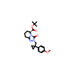 COc1ccc(C2(Cn3nc4n(c3=O)[C@H](C(=O)OC(C)(C)C)CCC4)CC2)cc1